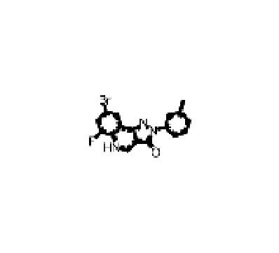 Cc1cccc(-n2nc3c4cc(Br)cc(F)c4[nH]cc-3c2=O)c1